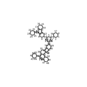 c1ccc(-c2cc(-c3ccc4c(c3)c3ccccc3n4-c3ccccc3)nc(-c3ccc4sc5c(ccc6c(-c7ccccc7)nc7ccccc7c65)c4c3)n2)cc1